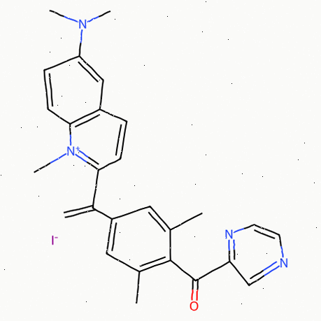 C=C(c1cc(C)c(C(=O)c2cnccn2)c(C)c1)c1ccc2cc(N(C)C)ccc2[n+]1C.[I-]